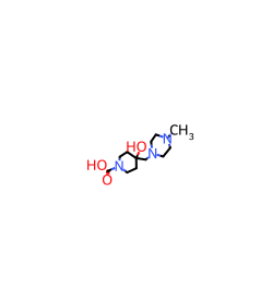 CN1CCN(CC2(O)CCN(C(=O)O)CC2)CC1